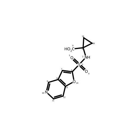 O=C(O)C1(NS(=O)(=O)c2cc3cnccc3o2)CC1